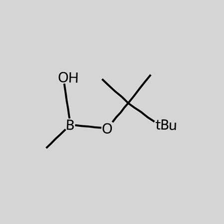 CB(O)OC(C)(C)C(C)(C)C